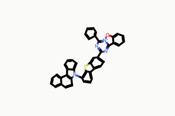 c1ccc(-c2nc(-c3ccc4c(c3)sc3c(-n5c6ccccc6c6c7ccccc7ccc65)cccc34)nc3c4ccccc4o[n+]23)cc1